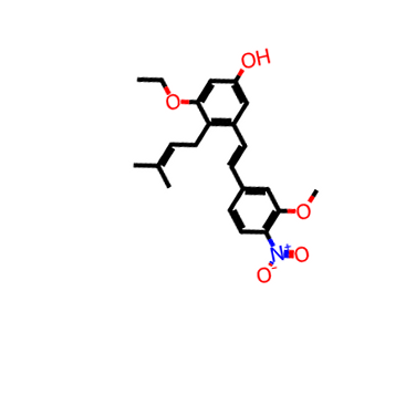 CCOc1cc(O)cc(/C=C/c2ccc([N+](=O)[O-])c(OC)c2)c1CC=C(C)C